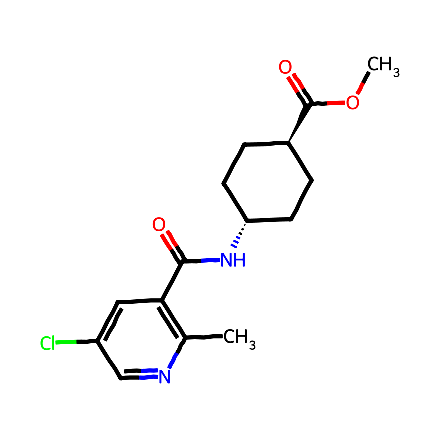 COC(=O)[C@H]1CC[C@H](NC(=O)c2cc(Cl)cnc2C)CC1